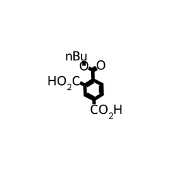 CCCCOC(=O)c1ccc(C(=O)O)cc1C(=O)O